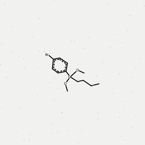 CCCC[Si](OC)(OC)c1ccc(Br)cc1